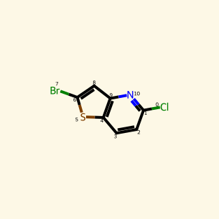 Clc1ccc2sc(Br)cc2n1